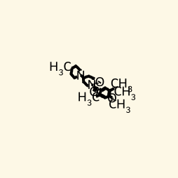 COc1cc(C)c(S(=O)(=O)N2CCC(N3CCC(C)CC3)CC2)cc1C(C)C